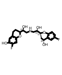 Oc1cc2c(cc1F)OC([C@@H](O)CNC[C@H](O)[C@@H]1C[C@@H](O)c3cc(F)ccc3O1)CC2